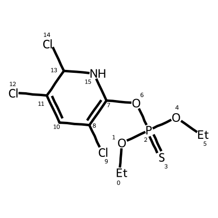 CCOP(=S)(OCC)OC1=C(Cl)C=C(Cl)C(Cl)N1